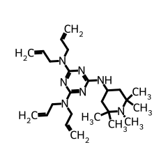 C=CCN(CC=C)c1nc(NC2CC(C)(C)N(C)C(C)(C)C2)nc(N(CC=C)CC=C)n1